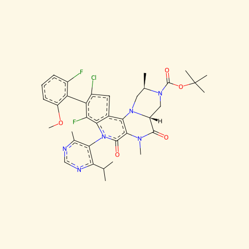 COc1cccc(F)c1-c1c(Cl)cc2c3c(c(=O)n(-c4c(C)ncnc4C(C)C)c2c1F)N(C)C(=O)[C@H]1CN(C(=O)OC(C)(C)C)[C@H](C)CN31